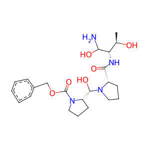 C[C@@H](O)[C@H](NC(=O)[C@@H]1CCCN1C(O)[C@@H]1CCCN1C(=O)OCc1ccccc1)C(N)O